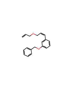 C=CCOC/C=C\c1cccc(OCc2ccccc2)c1